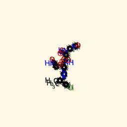 CC1(C)CCC(CN2CCN(c3ccc(C(=O)NS(=O)(=O)c4ccc(N[C@H]5CC[C@H](N6CCOCC6)CC5)c([N+](=O)[O-])c4)c(Oc4cccc5c4CC(=O)N5)c3)CC2)=C(c2ccc(Cl)cc2)C1